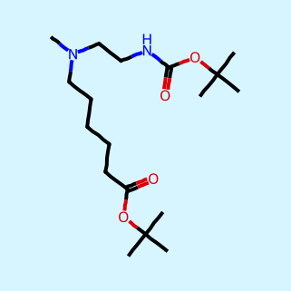 CN(CCCCCC(=O)OC(C)(C)C)CCNC(=O)OC(C)(C)C